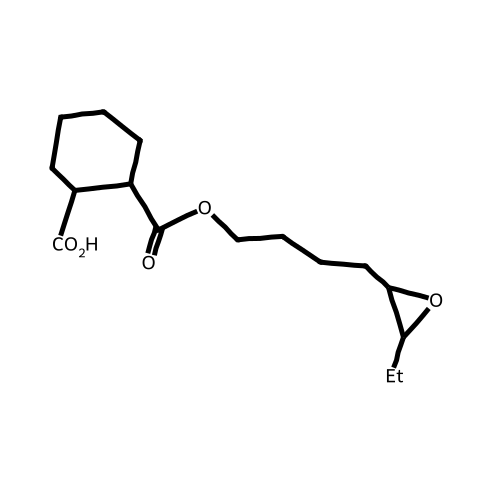 CCC1OC1CCCCOC(=O)C1CCCCC1C(=O)O